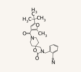 Cc1oc(C(C)(C)C)cc1C(=O)N1CCC2(CC1)CN(Cc1ccccc1C#N)C(=O)O2